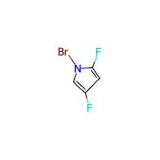 Fc1cc(F)n(Br)c1